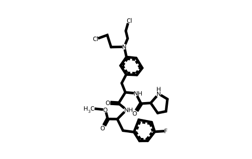 COC(=O)C(Cc1ccc(F)cc1)NC(=O)C(Cc1cccc(N(CCCl)CCCl)c1)NC(=O)C1CCCN1